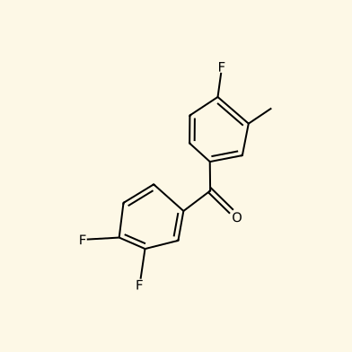 Cc1cc(C(=O)c2ccc(F)c(F)c2)ccc1F